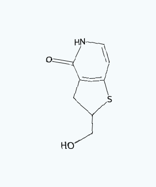 O=c1[nH]ccc2c1CC(CO)S2